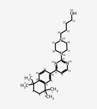 CC1(C)CCC(C)(C)c2cc(-c3ccnc(N4CCN(CCCCO)CC4)n3)ccc21